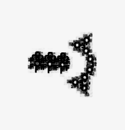 Cc1ccc([S+](c2ccc(-c3ccc([I+]c4ccc(-c5ccc([S+](c6ccc(C)cc6C)c6ccc(C)cc6C)cc5)cc4)cc3)cc2)c2ccc(C)cc2C)c(C)c1.O=S(=O)([O-])c1c(F)c(F)c(F)c(F)c1F.O=S(=O)([O-])c1c(F)c(F)c(F)c(F)c1F.O=S(=O)([O-])c1c(F)c(F)c(F)c(F)c1F